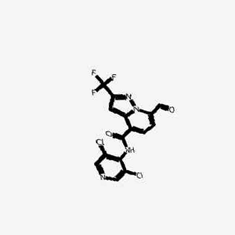 O=Cc1ccc(C(=O)Nc2c(Cl)cncc2Cl)c2cc(C(F)(F)F)nn12